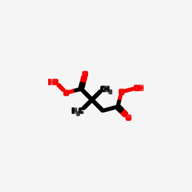 CC(C)(CC(=O)OO)C(=O)OO